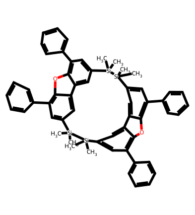 C[Si]1(C)c2cc(-c3ccccc3)c3oc4c(-c5ccccc5)cc(cc4c3c2)[Si](C)(C)[Si](C)(C)c2cc(-c3ccccc3)c3oc4c(-c5ccccc5)cc(cc4c3c2)[Si]1(C)C